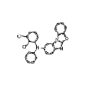 Clc1cccc(N(c2ccccc2)c2ccc3nc4oc5ccccc5n4c3c2)c1Cl